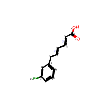 O=C(O)/C=C/C=C/Cc1cccc(F)c1